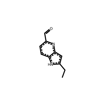 CCc1cc2nc(C=O)ccc2[nH]1